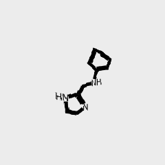 [c]1ccccc1NCC1=NCCN1